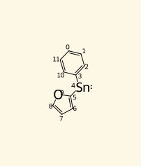 c1cc[c]([Sn][c]2ccco2)cc1